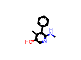 CNc1ncc(O)c(C)c1-c1ccccc1